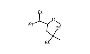 CCC(C(C)C)C(CC(C)(CC)CC)OI